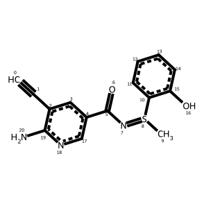 C#Cc1cc(C(=O)N=S(C)c2ccccc2O)cnc1N